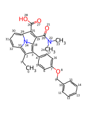 CCc1c(-c2ccc(OCc3ccccc3)cc2)c2c(C(=O)N(C)C)c(C(=O)O)c3cccc1n32